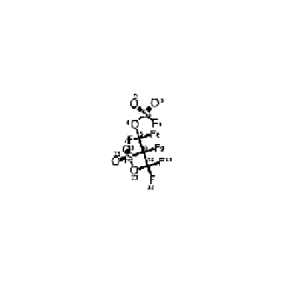 O=S(=O)(F)OC(F)(F)C1(F)C(F)(F)OS1(=O)=O